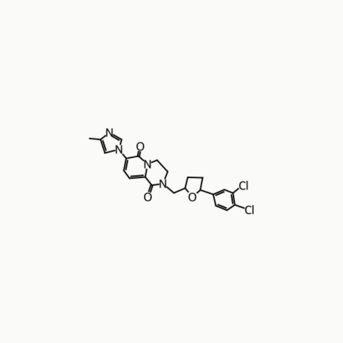 Cc1cn(-c2ccc3n(c2=O)CCN(CC2CCC(c4ccc(Cl)c(Cl)c4)O2)C3=O)cn1